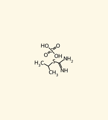 CC(C)SC(=N)N.O=S(=O)(O)O